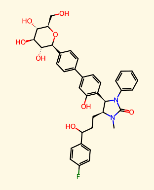 CN1C(=O)N(c2ccccc2)[C@H](c2ccc(-c3ccc([C@@H]4O[C@H](CO)[C@@H](O)[C@H](O)[C@H]4O)cc3)cc2O)[C@@H]1CCC(O)c1ccc(F)cc1